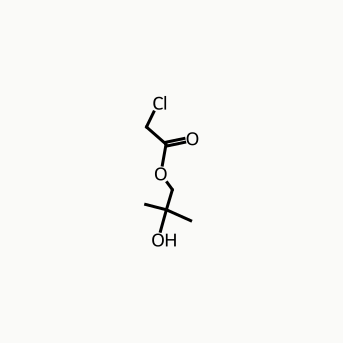 CC(C)(O)COC(=O)CCl